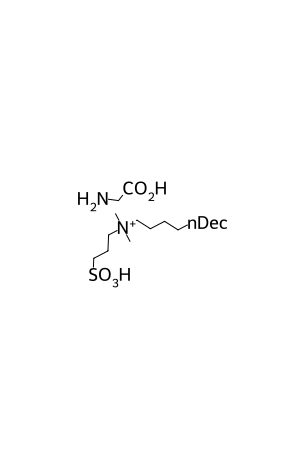 CCCCCCCCCCCCCC[N+](C)(C)CCCS(=O)(=O)O.NCC(=O)O